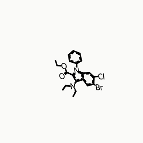 CCOC(=O)c1c(N(CC)CC)c2cc(Br)c(Cl)cc2n1-c1ccccc1